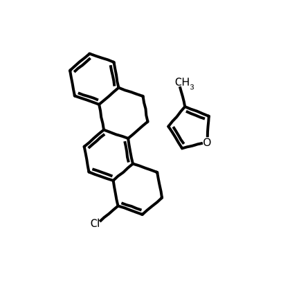 Cc1ccoc1.ClC1=CCCc2c1ccc1c2CCc2ccccc2-1